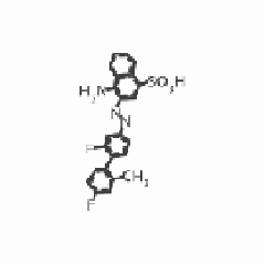 Cc1cc(F)ccc1-c1ccc(/N=N/c2cc(S(=O)(=O)O)c3ccccc3c2N)cc1F